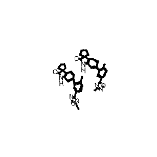 Cc1nc(-c2ccc(C)c(-c3ccc4c(c3)NC(=O)C43CCCC3)c2)no1.Cc1noc(-c2ccc(C)c(-c3ccc4c(c3)NC(=O)C43CCCC3)c2)n1